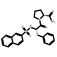 NC(=O)[C@@H]1CCCN1C(=O)[C@H](Cc1ccccc1)NS(=O)(=O)c1ccc2ccccc2c1